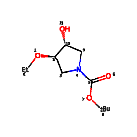 CCO[C@@H]1CN(C(=O)OC(C)(C)C)C[C@H]1O